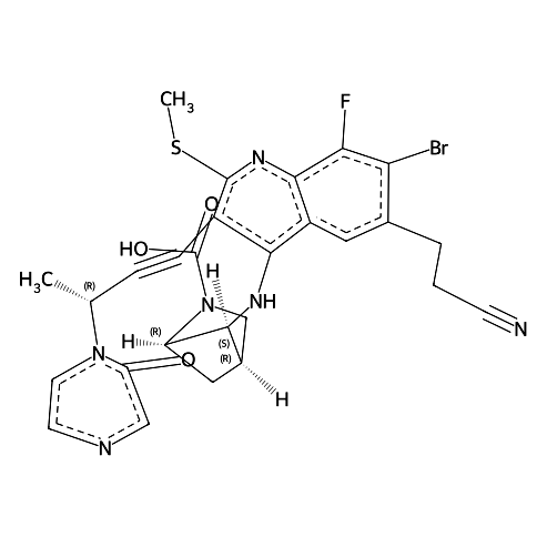 CSc1nc2c(F)c(Br)c(CCC#N)cc2c(N[C@H]2[C@@H]3C[C@H]2N(C(=O)O)C3)c1C#C[C@@H](C)n1ccncc1=O